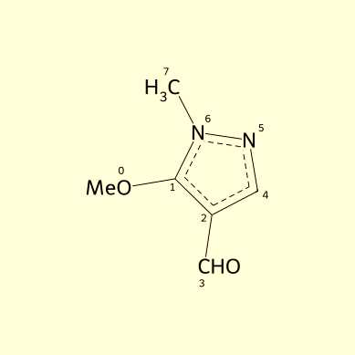 COc1c(C=O)cnn1C